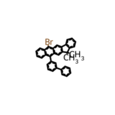 CC1(C)c2ccccc2-c2cc3c(Br)c4ccccc4c(-c4cccc(-c5ccccc5)c4)c3cc21